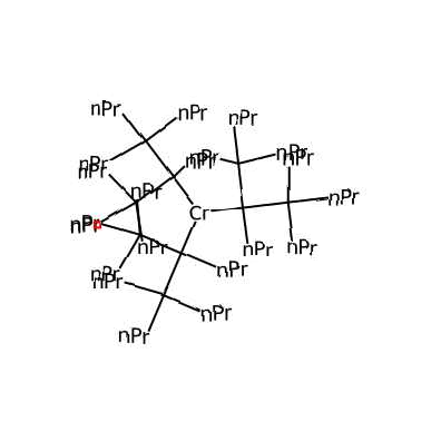 CCCC(CCC)(CCC)[C](CCC)([Cr]([C](CCC)(C(CCC)(CCC)CCC)C(CCC)(CCC)CCC)[C](CCC)(C(CCC)(CCC)CCC)C(CCC)(CCC)CCC)C(CCC)(CCC)CCC